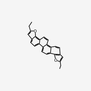 CCc1cc2ccc3c4ccc5c(ccc6cc(CC)oc65)c4ccc3c2o1